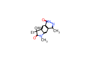 CCC1(OC)C(=O)N(C)c2cc3c(C)n[nH]c(=O)c3cc21